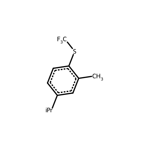 Cc1cc(C(C)C)ccc1SC(F)(F)F